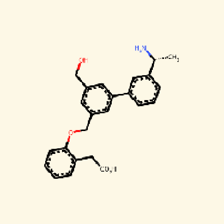 C[C@@H](N)c1cccc(-c2cc(CO)cc(COc3ccccc3CC(=O)O)c2)c1